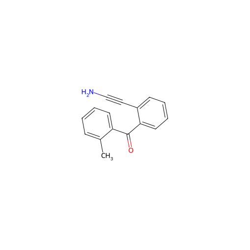 Cc1ccccc1C(=O)c1ccccc1C#CN